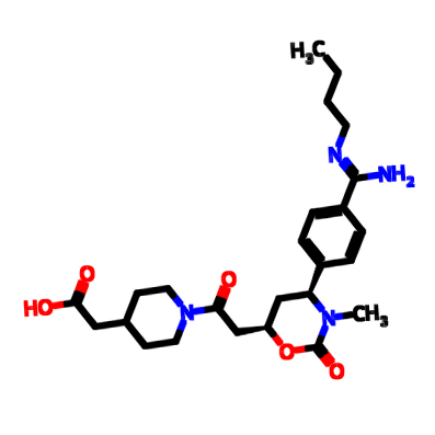 CCCCN=C(N)c1ccc([C@@H]2C[C@H](CC(=O)N3CCC(CC(=O)O)CC3)OC(=O)N2C)cc1